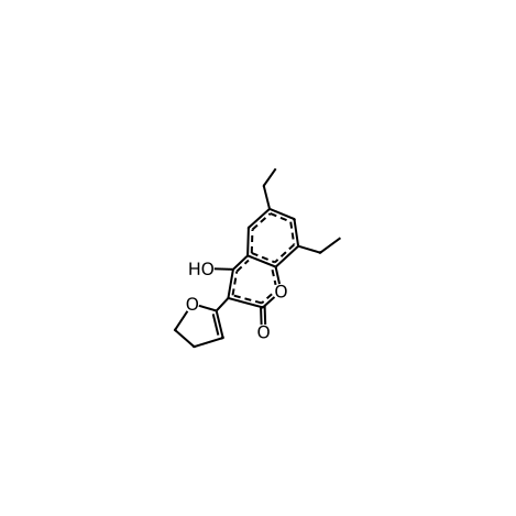 CCc1cc(CC)c2oc(=O)c(C3=CCCO3)c(O)c2c1